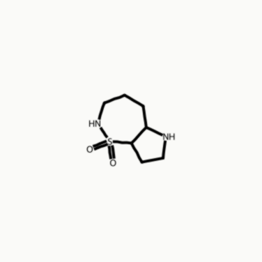 O=S1(=O)NCCCC2NCCC21